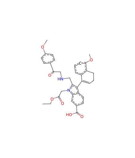 CCOC(=O)Cn1c(CNCC(=O)c2ccc(OC)cc2)c(C2=CCCc3c(OC)cccc32)c2ccc(C(=O)O)cc21